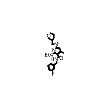 CCSc1nc(N(C)CC2CCCOC2)cc(C)c1C(=O)NCc1cccc(F)c1